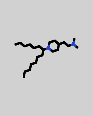 CCCCCCCC(CCCCCC)N1CCC(CCN(C)C)CC1